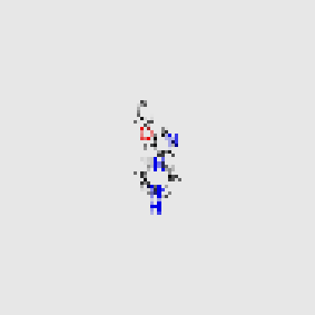 CCCOc1cncc(N2CCCNCCC2)c1